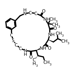 CC[C@H](C)[C@@H]1NC(=O)[C@H](CC(C)C)NC(=O)C(C)(C)NC(=O)CCNCc2cccc(c2)CSCCNC1=O